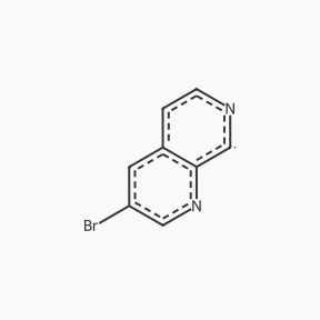 Brc1cnc2[c]nccc2c1